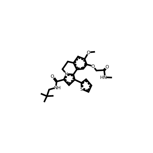 CNC(=O)COc1cc2c(cc1OC)CCn1c(C(=O)NCC(C)(C)C)cc(-c3cccs3)c1-2